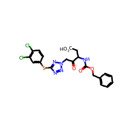 O=C(O)CC(NC(=O)OCc1ccccc1)C(=O)Cn1nnc(Sc2ccc(Cl)c(Cl)c2)n1